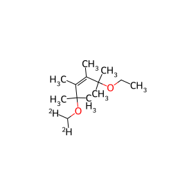 [2H]C([2H])OC(C)(C)/C(C)=C(/C)C(C)(C)OCC